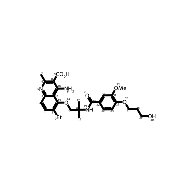 CCc1ccc2nc(C)c(C(=O)O)c(N)c2c1OCC(C)(C)NC(=O)c1ccc(OCCCO)c(OC)c1